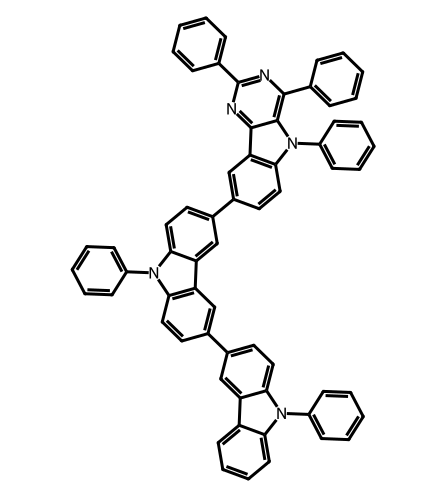 c1ccc(-c2nc(-c3ccccc3)c3c(n2)c2cc(-c4ccc5c(c4)c4cc(-c6ccc7c(c6)c6ccccc6n7-c6ccccc6)ccc4n5-c4ccccc4)ccc2n3-c2ccccc2)cc1